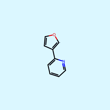 [c]1occc1-c1ccccn1